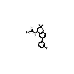 CC1(C)CC(NC(=O)O)c2cc(-c3cccc(F)c3)ccc2O1